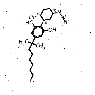 CC(C)[C@@H]1CC[C@@H](N=[N+]=[N-])C[C@H]1c1c(O)cc(C(C)(C)CCCCCCI)cc1O